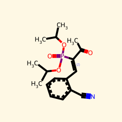 CC(=O)/C(=C/c1ccccc1C#N)P(=O)(OC(C)C)OC(C)C